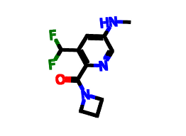 CNc1cnc(C(=O)N2CCC2)c(C(F)F)c1